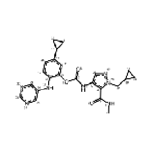 CNC(=O)c1c(NC(=O)Oc2nc(C3CC3)ccc2Nc2cncnc2)cnn1CC1CC1